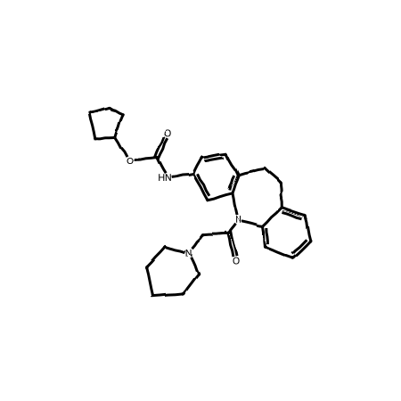 O=C(Nc1ccc2c(c1)N(C(=O)CN1CCCCC1)c1ccccc1CC2)OC1CCCC1